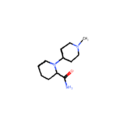 CN1CCC(N2CCCCC2C(N)=O)CC1